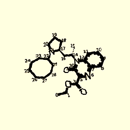 CCOC(=O)c1nc2ccccc2n([C@@H](C)C[C@@H]2CCCN2C2CCCCCCC2)c1=O